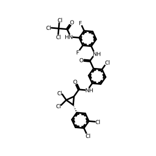 O=C(Nc1ccc(F)c(NC(=O)C(Cl)(Cl)Cl)c1F)c1cc(NC(=O)C2[C@H](c3ccc(Cl)c(Cl)c3)C2(Cl)Cl)ccc1Cl